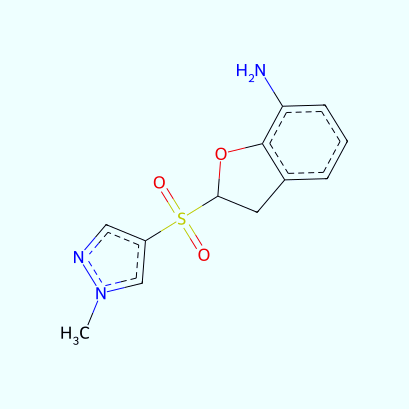 Cn1cc(S(=O)(=O)C2Cc3cccc(N)c3O2)cn1